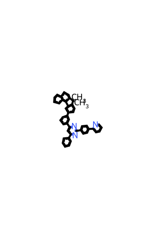 CC1(C)c2ccc(-c3cccc(-c4cc(-c5ccccc5)nc(-c5ccc(-c6ccccn6)cc5)n4)c3)cc2-c2c1ccc1ccccc21